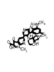 CNc1cc(F)cc2c1[nH]c1ncc(-c3cnc4c(c3)c(=O)c(C(=O)O)cn4C)c(N3CCO[C@H]4CN(C)C[C@H]43)c12